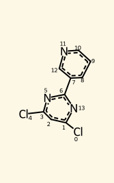 Clc1cc(Cl)nc(-c2cccnc2)n1